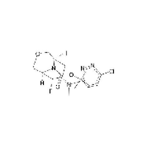 CN(c1ccc(Cl)nn1)[C@H]1C[C@@H]2COC[C@H]([C@H]1F)N2C(=O)OC(C)(C)C